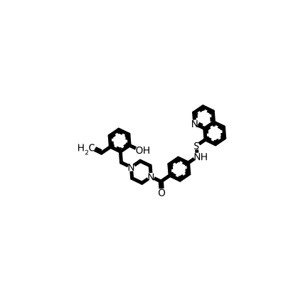 C=Cc1cccc(O)c1CN1CCN(C(=O)c2ccc(NSc3cccc4cccnc34)cc2)CC1